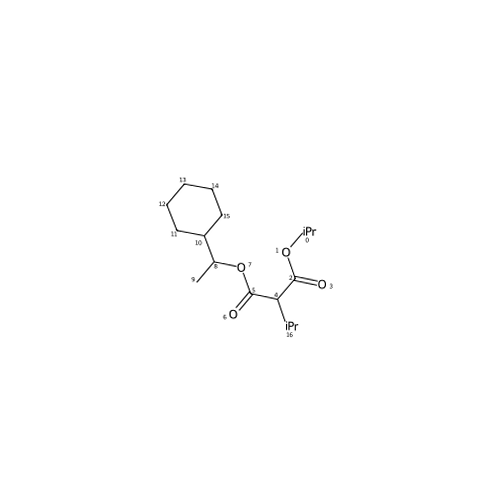 CC(C)OC(=O)C(C(=O)OC(C)C1CCCCC1)C(C)C